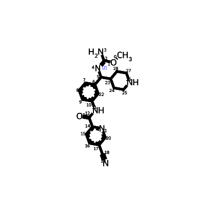 CO/C(N)=N\C(c1cccc(NC(=O)c2ccc(C#N)cn2)c1)C1CCNCC1